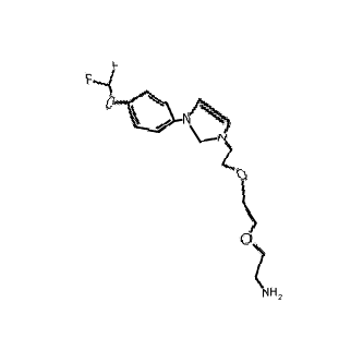 NCCOCCOCCN1C=CN(c2ccc(OC(F)F)cc2)C1